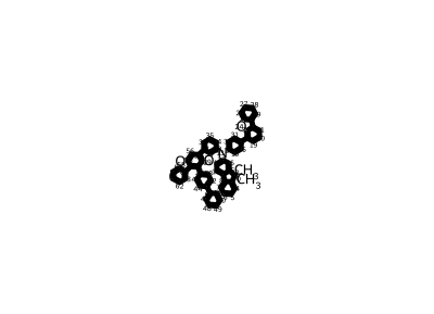 CC1(C)c2ccccc2-c2ccc(N(c3ccc(-c4cccc5c4oc4ccccc45)cc3)c3cccc4c3oc3c(-c5ccc(-c6ccccc6)cc5)c5c(cc34)oc3ccccc35)cc21